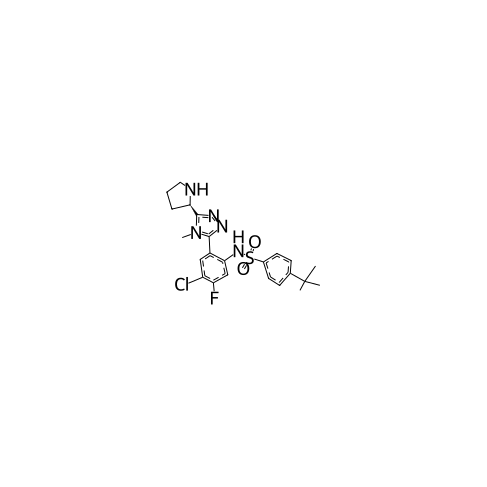 Cn1c(-c2cc(Cl)c(F)cc2NS(=O)(=O)c2ccc(C(C)(C)C)cc2)nnc1[C@H]1CCCN1